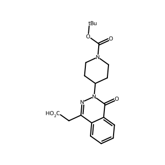 CC(C)(C)OC(=O)N1CCC(n2nc(CC(=O)O)c3ccccc3c2=O)CC1